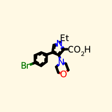 CCn1cc(-c2ccc(Br)cc2)c(N2CCOCC2)c1C(=O)O